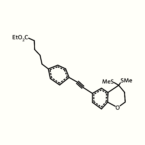 CCOC(=O)CCCCc1ccc(C#Cc2ccc3c(c2)C(SC)(SC)CCO3)cc1